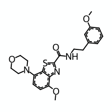 COc1cccc(CCNC(=O)c2nc3c(OC)ccc(N4CCOCC4)c3s2)c1